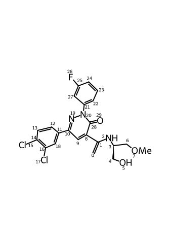 C=C(N[C@H](CO)COC)c1cc(-c2ccc(Cl)c(Cl)c2)nn(-c2cccc(F)c2)c1=O